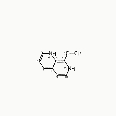 ClOC1=C2NC=CC=C2C=CN1